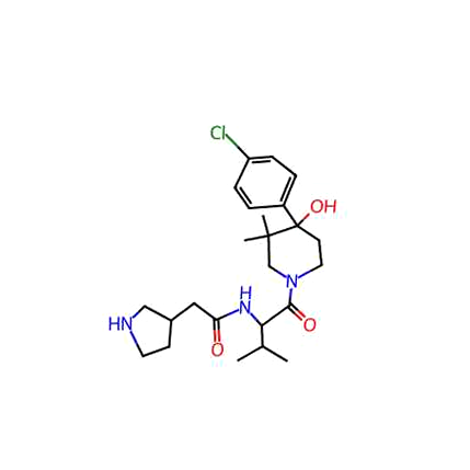 CC(C)C(NC(=O)CC1CCNC1)C(=O)N1CCC(O)(c2ccc(Cl)cc2)C(C)(C)C1